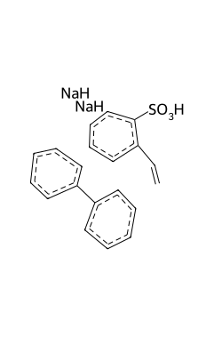 C=Cc1ccccc1S(=O)(=O)O.[NaH].[NaH].c1ccc(-c2ccccc2)cc1